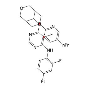 CCCc1cnc(N2CC3COCC(C2)C3Oc2ncnc(Nc3ccc(CC)cc3F)c2F)nc1